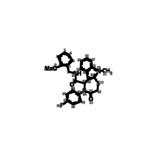 COc1ccccc1CNC(=O)C1c2c(n(C)c3ccccc23)SCC(=O)N1c1ccc(F)cc1